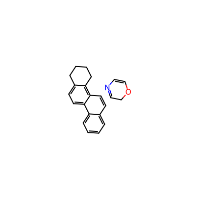 C1=COCC=N1.c1ccc2c(c1)ccc1c3c(ccc12)CCCC3